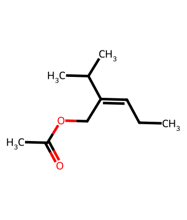 CCC=C(COC(C)=O)C(C)C